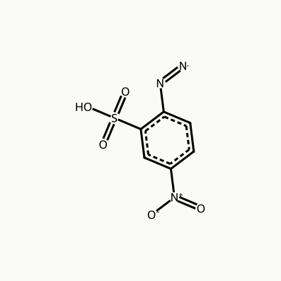 [N]=Nc1ccc([N+](=O)[O-])cc1S(=O)(=O)O